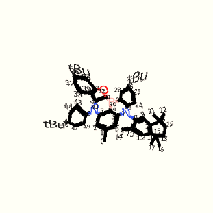 Cc1cc2c3c(c1)N(c1cc4c(cc1C)C(C)(C)CCC4(C)C)c1ccc(C(C)(C)C)cc1B3c1oc3cc(C(C)(C)C)ccc3c1N2C1=CCC(C(C)(C)C)C=C1